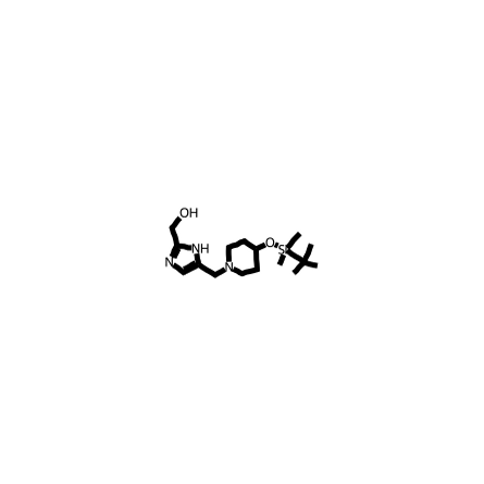 CC(C)(C)[Si](C)(C)OC1CCN(Cc2cnc(CO)[nH]2)CC1